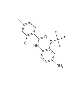 Nc1ccc(NC(=O)c2ccc(F)cc2Cl)c(OC(F)(F)F)c1